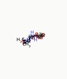 C[C@@H]1CN(c2cccc(-c3csc(NC(=O)CNC(=O)c4cccc(C5(F)COCC5O)c4)n3)n2)C[C@H](C)O1